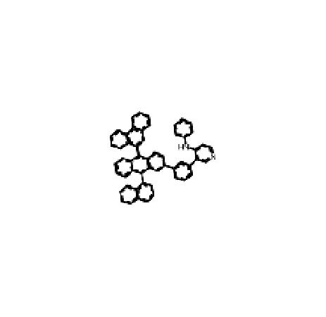 c1ccc(Nc2ccncc2-c2cccc(-c3ccc4c(-c5cc6ccccc6c6ccccc56)c5ccccc5c(-c5cccc6ccccc56)c4c3)c2)cc1